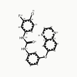 O=C(Nc1cccc(Oc2ccc3nccnc3c2)c1)Nc1ccc(Cl)c(F)c1